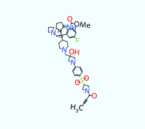 CC#CC(=O)N1CC(S(=O)(=O)c2ccc(N3CC(O)(CN4CCC([C@@](CN5CCC5)(c5cccc(F)c5)[C@H]5CCC[C@@H]5NC(=O)OC)CC4)C3)cc2)C1